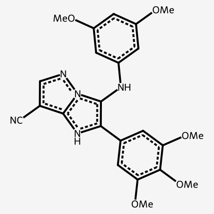 COc1cc(Nc2c(-c3cc(OC)c(OC)c(OC)c3)[nH]c3c(C#N)cnn23)cc(OC)c1